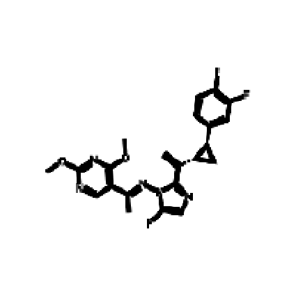 C=C(c1ncc(F)n1/N=C(\C)c1cnc(OC)nc1OC)[C@H]1C[C@@H]1c1ccc(F)c(F)c1